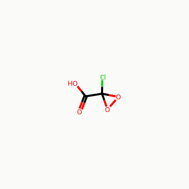 O=C(O)C1(Cl)OO1